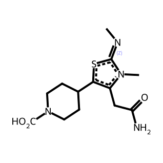 C/N=c1\sc(C2CCN(C(=O)O)CC2)c(CC(N)=O)n1C